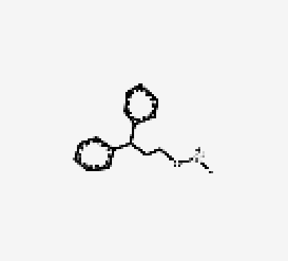 F[SiH2]OCCC(c1ccccc1)c1ccccc1